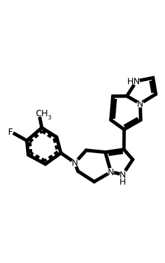 Cc1cc(N2CCN3NCC(C4=CN5C=CNC5C=C4)=C3C2)ccc1F